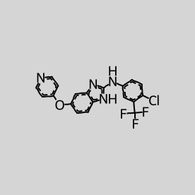 FC(F)(F)c1cc(Nc2nc3cc(Oc4ccncc4)ccc3[nH]2)ccc1Cl